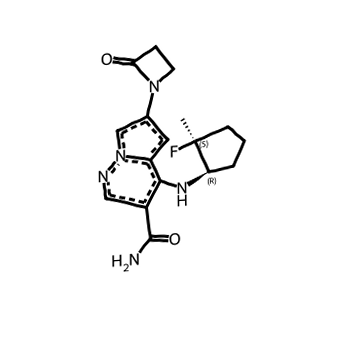 C[C@]1(F)CCC[C@H]1Nc1c(C(N)=O)cnn2cc(N3CCC3=O)cc12